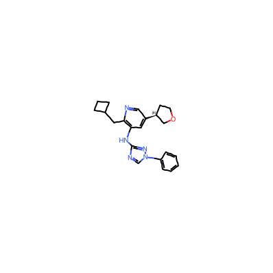 c1ccc(-n2cnc(Nc3cc([C@H]4CCOC4)cnc3CC3CCC3)n2)cc1